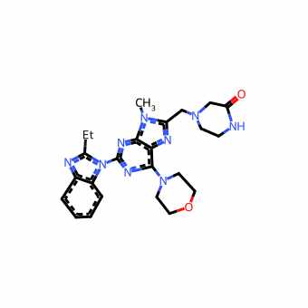 CCc1nc2ccccc2n1-c1nc(N2CCOCC2)c2nc(CN3CCNC(=O)C3)n(C)c2n1